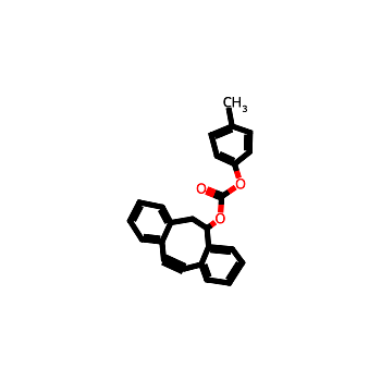 Cc1ccc(OC(=O)OC2Cc3ccccc3C#Cc3ccccc32)cc1